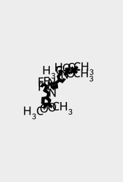 COc1ccc(-c2cc(C(F)(F)F)n3nc(C4=CCN(C(=O)OC(C)(C)C)C(C)C4)cc3n2)cc1OC